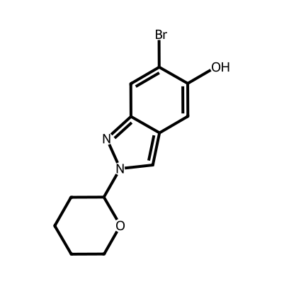 Oc1cc2cn(C3CCCCO3)nc2cc1Br